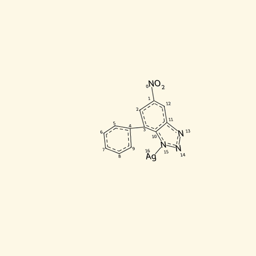 O=[N+]([O-])c1cc(-c2ccccc2)c2c(c1)nn[n]2[Ag]